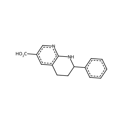 O=C(O)c1cnc2c(c1)CCC(c1ccccc1)N2